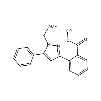 CCCOC(=O)c1ccccc1-c1cc(-c2ccccc2)n(COC)n1